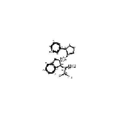 CN1CCCC1c1cccnc1.O=CN(C(F)F)C1CCc2ccccc21